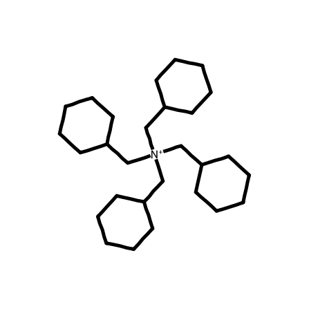 C1CCC(C[N+](CC2CCCCC2)(CC2CCCCC2)CC2CCCCC2)CC1